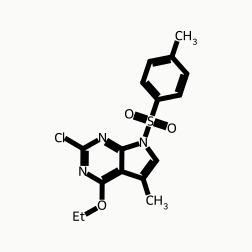 CCOc1nc(Cl)nc2c1c(C)cn2S(=O)(=O)c1ccc(C)cc1